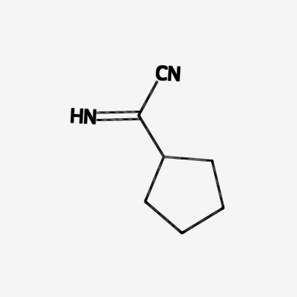 N#CC(=N)C1CCCC1